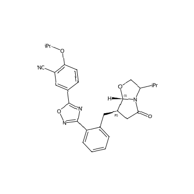 CC(C)Oc1ccc(-c2nc(-c3ccccc3C[C@@H]3CC(=O)N4C(C(C)C)CO[C@@H]34)no2)cc1C#N